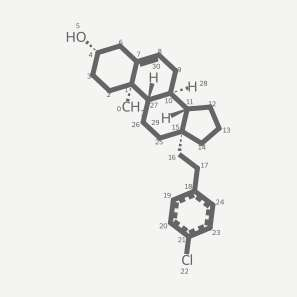 C[C@]12CC[C@H](O)CC1=CC[C@H]1[C@@H]3CCC[C@@]3(CCc3ccc(Cl)cc3)CC[C@@H]12